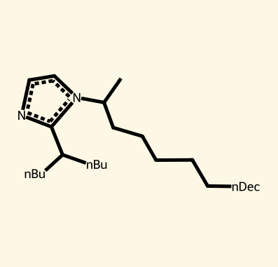 CCCCCCCCCCCCCCCC(C)n1ccnc1C(CCCC)CCCC